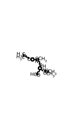 Cc1oc(-c2ccc(OCCCN(C)C)cc2)nc1CCOc1ccc(CCC(=O)O)c(CNC(=O)OC(C)C)c1